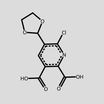 O=C(O)c1cc(C2OCCO2)c(Cl)nc1C(=O)O